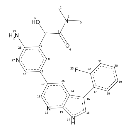 CN(C)C(=O)C(O)c1cc(-c2cnc3[nH]cc(-c4ccccc4F)c3c2)cnc1N